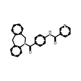 O=C(Nc1ccc(C(=O)N2Cc3ccccc3Cc3ccccc32)cc1)c1cccnc1